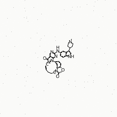 CN1CCC(c2c[nH]c3ccc(Nc4ncc5c(=O)n6n(c5n4)-c4ccc5c(c4)N(CCC/C=C\C6)C(=O)CO5)cc23)CC1